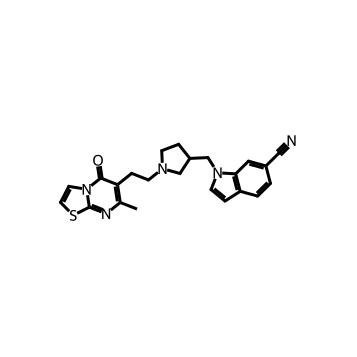 Cc1nc2sccn2c(=O)c1CCN1CCC(Cn2ccc3ccc(C#N)cc32)C1